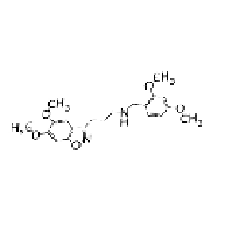 COc1ccc(CNCCCc2noc3cc(OC)c(OC)cc23)c(OC)c1